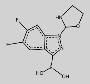 OB(O)c1nn(C2NCCO2)c2cc(F)c(F)cc12